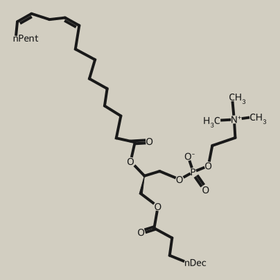 CCCCC/C=C\C/C=C\CCCCCCCC(=O)O[C@H](COC(=O)CCCCCCCCCCCC)COP(=O)([O-])OCC[N+](C)(C)C